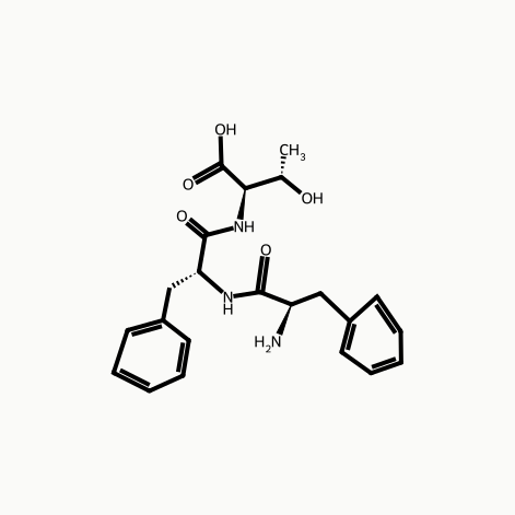 C[C@H](O)[C@@H](NC(=O)[C@@H](Cc1ccccc1)NC(=O)[C@H](N)Cc1ccccc1)C(=O)O